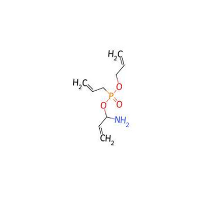 C=CCOP(=O)(CC=C)OC(N)C=C